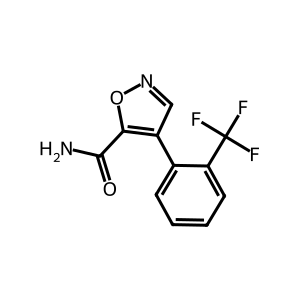 NC(=O)c1oncc1-c1ccccc1C(F)(F)F